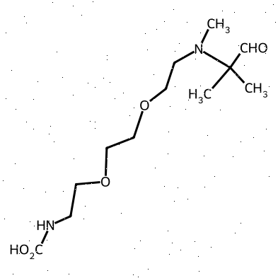 CN(CCOCCOCCNC(=O)O)C(C)(C)C=O